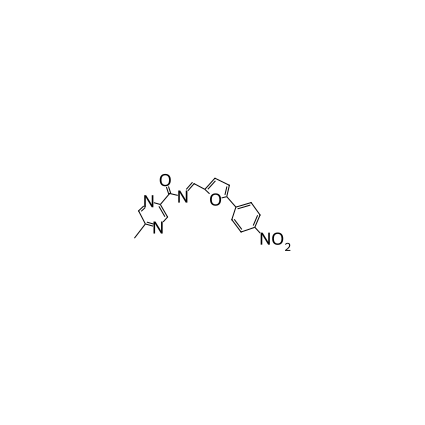 Cc1cnc(C(=O)N=Cc2ccc(-c3ccc([N+](=O)[O-])cc3)o2)cn1